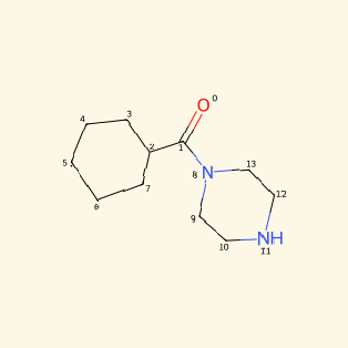 O=C(C1CC[CH]CC1)N1CCNCC1